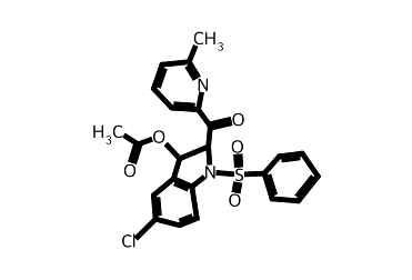 CC(=O)OC1c2cc(Cl)ccc2N(S(=O)(=O)c2ccccc2)C1C(=O)c1cccc(C)n1